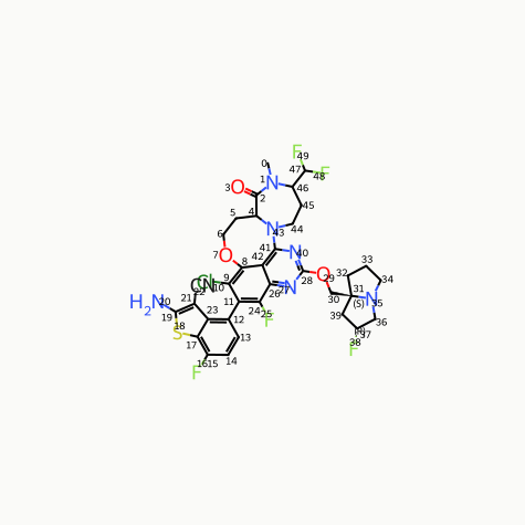 CN1C(=O)C2CCOc3c(Cl)c(-c4ccc(F)c5sc(N)c(C#N)c45)c(F)c4nc(OC[C@@]56CCCN5C[C@H](F)C6)nc(c34)N2CCC1C(F)F